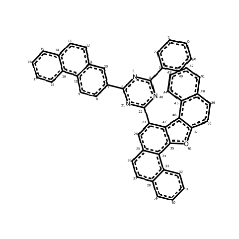 c1ccc(-c2nc(-c3ccc4c(ccc5ccccc54)c3)nc(-c3cc4ccc5ccccc5c4c4oc5ccc6ccccc6c5c34)n2)cc1